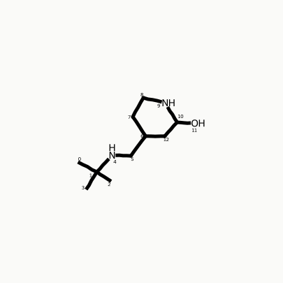 CC(C)(C)NCC1CCNC(O)C1